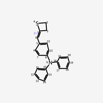 C(=C1/CCS1)/c1ccc(N(c2ccccc2)c2ccccc2)cc1